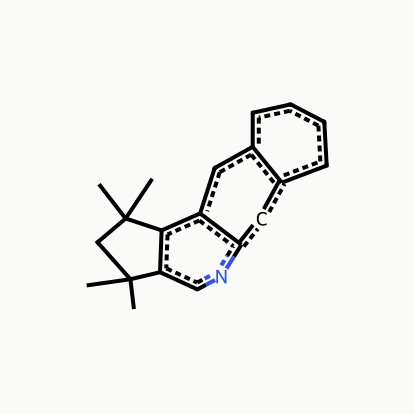 CC1(C)CC(C)(C)c2c1cnc1cc3ccccc3cc21